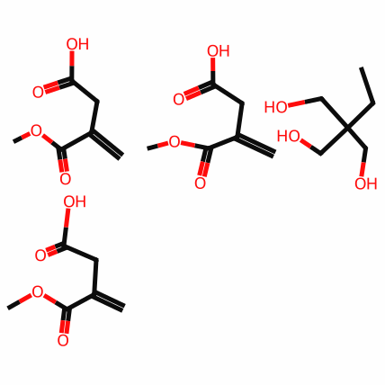 C=C(CC(=O)O)C(=O)OC.C=C(CC(=O)O)C(=O)OC.C=C(CC(=O)O)C(=O)OC.CCC(CO)(CO)CO